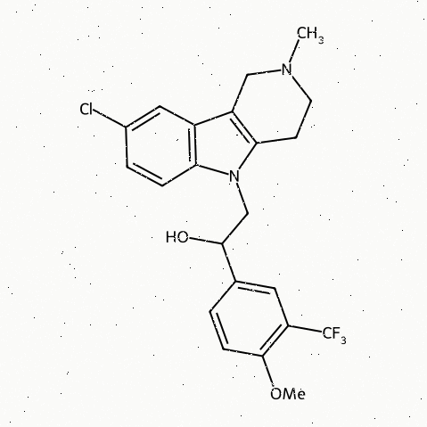 COc1ccc(C(O)Cn2c3c(c4cc(Cl)ccc42)CN(C)CC3)cc1C(F)(F)F